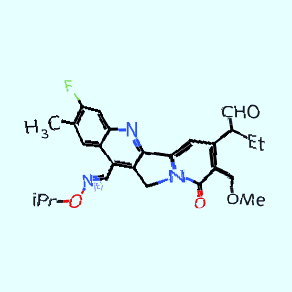 CCC(C=O)c1cc2n(c(=O)c1COC)Cc1c-2nc2cc(F)c(C)cc2c1/C=N/OC(C)C